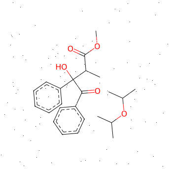 CC(C)OC(C)C.COC(=O)C(C)C(O)(C(=O)c1ccccc1)c1ccccc1